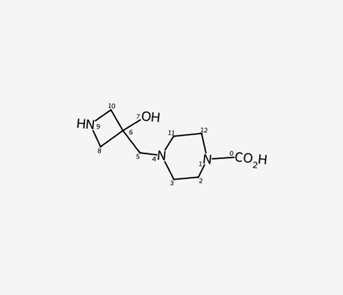 O=C(O)N1CCN(CC2(O)CNC2)CC1